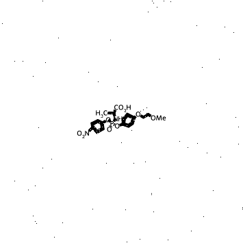 COCCOc1ccc(OP(=O)(NC(C)C(=O)O)Oc2ccc([N+](=O)[O-])cc2)cc1